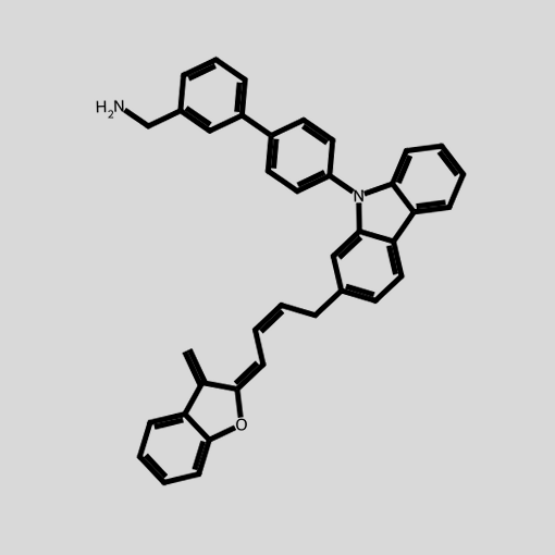 C=c1/c(=C\C=C/Cc2ccc3c4ccccc4n(-c4ccc(-c5cccc(CN)c5)cc4)c3c2)oc2ccccc12